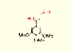 COc1cc([C@@H](O)CCO)cc(OC)c1OC